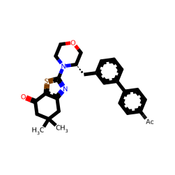 CC(=O)c1ccc(-c2cccc(C[C@H]3COCCN3c3nc4c(s3)C(=O)CC(C)(C)C4)c2)cc1